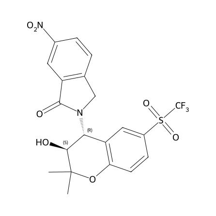 CC1(C)Oc2ccc(S(=O)(=O)C(F)(F)F)cc2[C@@H](N2Cc3ccc([N+](=O)[O-])cc3C2=O)[C@@H]1O